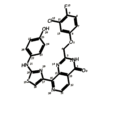 O=c1[nH]c(COc2ccc(F)c(Cl)c2)nc2c(-c3csc(Nc4ccc(O)cc4)n3)nccc12